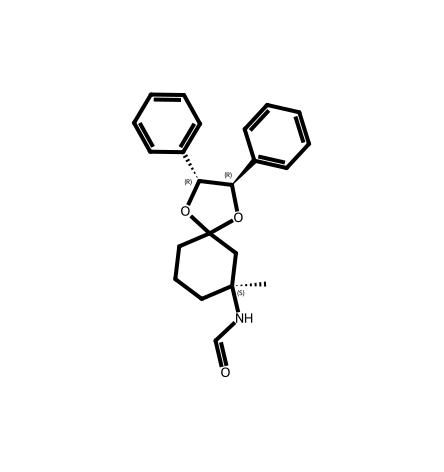 C[C@]1(NC=O)CCCC2(C1)O[C@H](c1ccccc1)[C@@H](c1ccccc1)O2